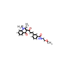 COCCNC(=O)c1cccc(/C=C/C(=O)c2c(C)n(C)c3ccccc3c2=O)c1